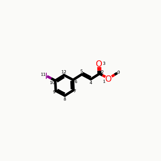 COC(=O)/C=C/c1cccc(I)c1